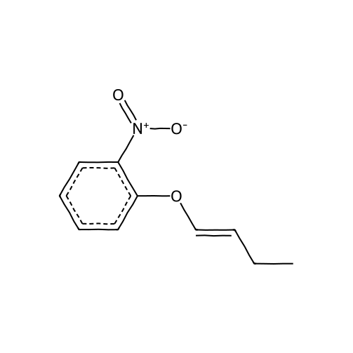 CCC=COc1ccccc1[N+](=O)[O-]